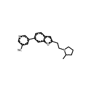 CC1CCCN1CCc1cc2ccc(-c3cncc(C#N)c3)cc2o1